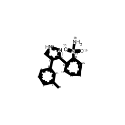 Cc1cccc(-c2c[nH]nc2-c2ccccc2S(N)(=O)=O)c1